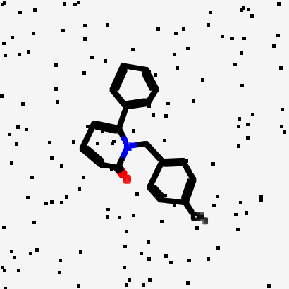 Cc1ccc(Cn2c(-c3ccccc3)cccc2=O)cc1